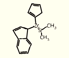 C[Si](C)=[Zr]([C]1=CC=CC1)[CH]1C=Cc2ccccc21